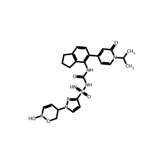 CC(C)n1ccc(-c2ccc3c(c2NC(=O)NS(=N)(=O)c2ccn(C4C=CB(O)OC4)n2)CCC3)cc1=O